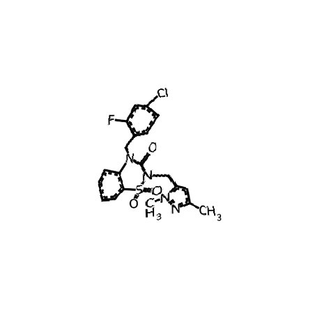 Cc1cc(CN2C(=O)N(Cc3ccc(Cl)cc3F)c3ccccc3S2(=O)=O)n(C)n1